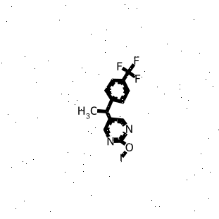 CC(c1ccc(C(F)(F)F)cc1)c1cnc(OI)nc1